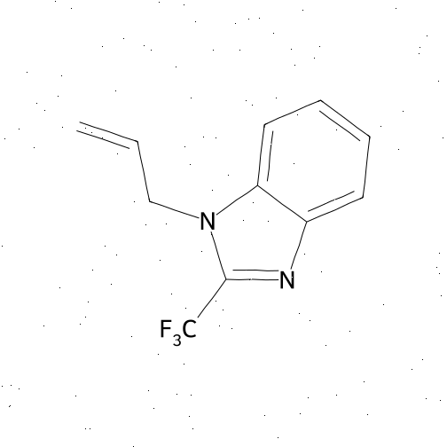 C=CCn1c(C(F)(F)F)nc2ccccc21